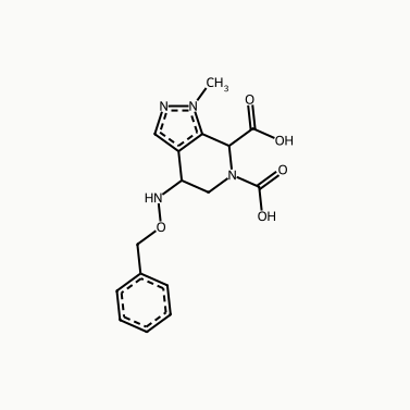 Cn1ncc2c1C(C(=O)O)N(C(=O)O)CC2NOCc1ccccc1